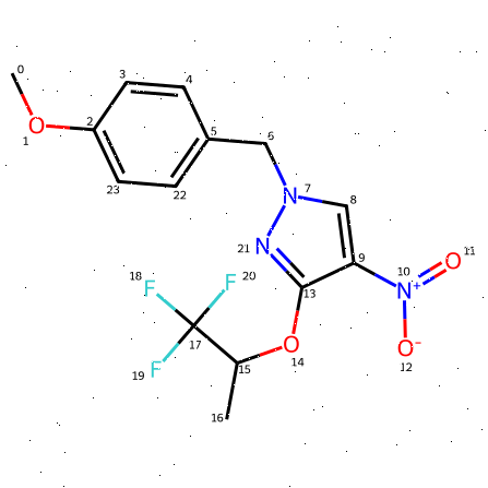 COc1ccc(Cn2cc([N+](=O)[O-])c(OC(C)C(F)(F)F)n2)cc1